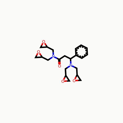 O=C(CC(c1ccccc1)N(CC1CO1)CC1CO1)N(CC1CO1)CC1CO1